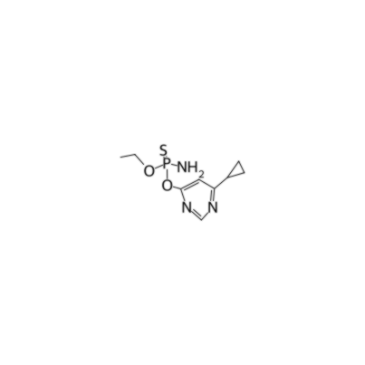 CCOP(N)(=S)Oc1cc(C2CC2)ncn1